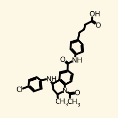 CC(=O)N1c2ccc(C(=O)Nc3ccc(CCCC(=O)O)cc3)cc2C(Nc2ccc(Cl)cc2)CC1C